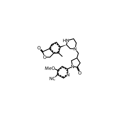 COc1cc(N2CC(CN3CCN[C@H](c4ccc5c(c4C)COC5=O)C3)CC2=O)ncc1C#N